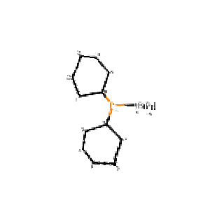 CC(C)(C)P(C1CCCCC1)C1CCCCC1.[Pd]